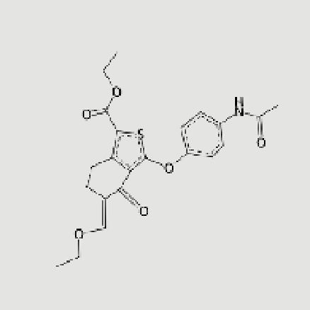 CCOC=C1CCc2c(C(=O)OCC)sc(Oc3ccc(NC(C)=O)cc3)c2C1=O